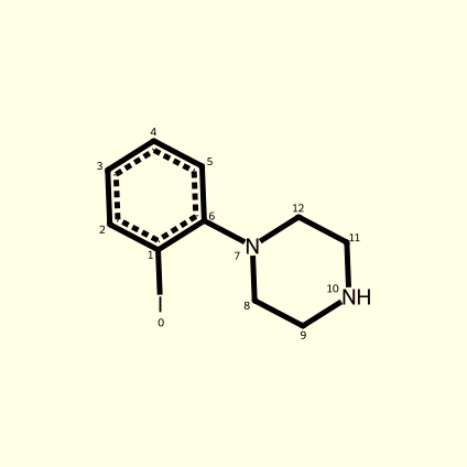 Ic1ccccc1N1CCNCC1